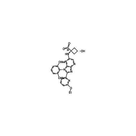 CCOc1cccc(-c2nc3ncc(N[C@]4([SH](=O)=O)C[C@@H](O)C4)nc3n2-c2c(OC)cccc2OC)n1